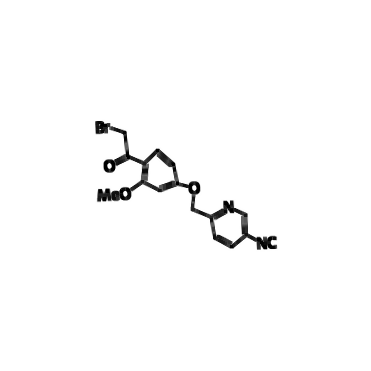 [C-]#[N+]c1ccc(COc2ccc(C(=O)CBr)c(OC)c2)nc1